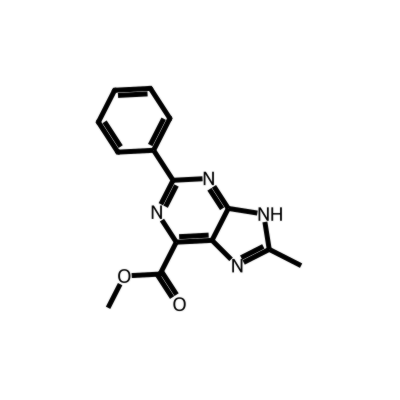 COC(=O)c1nc(-c2ccccc2)nc2[nH]c(C)nc12